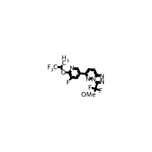 COC(F)(F)c1nnc2ccc(-c3cnc(OC(C)C(F)(F)F)c(F)c3)nn12